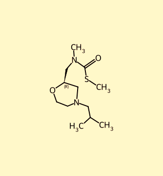 CSC(=O)N(C)C[C@H]1CN(CC(C)C)CCO1